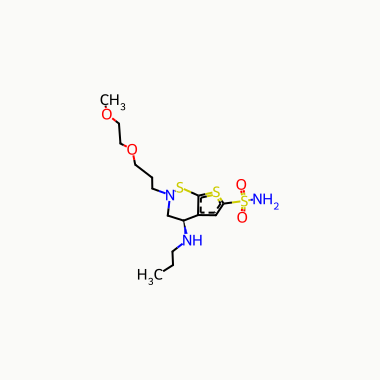 CCCN[C@H]1CN(CCCOCCOC)Sc2sc(S(N)(=O)=O)cc21